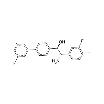 Cc1ccc([C@H](N)[C@H](O)c2ccc(-c3cncc(F)c3)cc2)cc1Cl